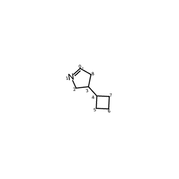 [C]1=NCC(C2CCC2)C1